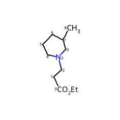 CCOC(=O)CCN1CCCC(C)C1